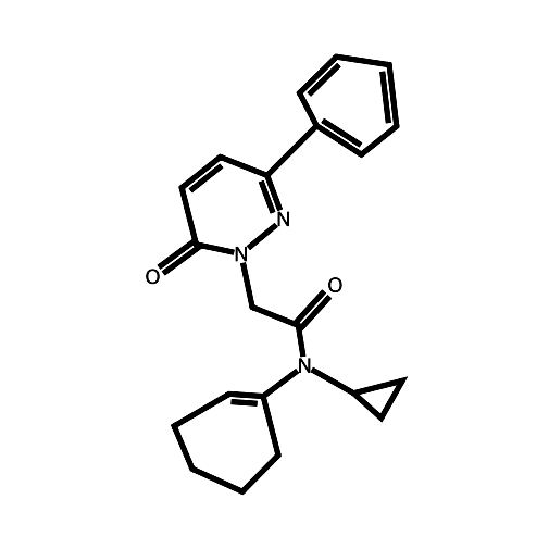 O=C(Cn1nc(-c2ccccc2)ccc1=O)N(C1=CCCCC1)C1CC1